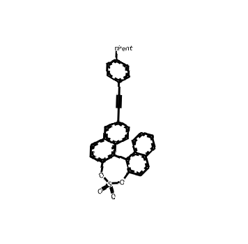 CCCCCc1ccc(C#Cc2ccc3c4c(ccc3c2)OS(=O)(=O)Oc2ccc3ccccc3c2-4)cc1